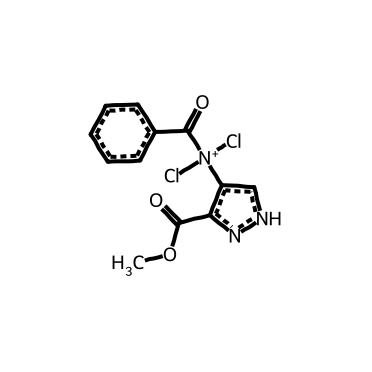 COC(=O)c1n[nH]cc1[N+](Cl)(Cl)C(=O)c1ccccc1